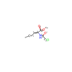 CCCC=C(NC(=O)CCl)C(=O)OC